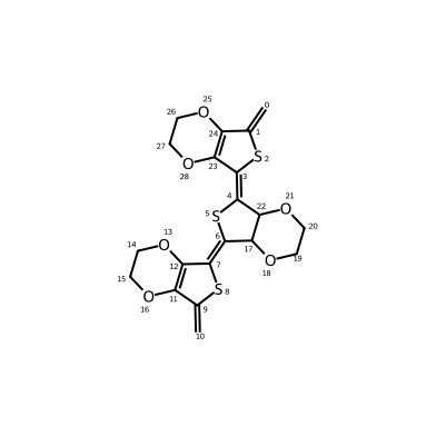 C=c1s/c(=C2/S/C(=c3/sc(=C)c4c3OCCO4)C3OCCOC23)c2c1OCCO2